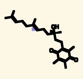 CC(C)=CCC/C(C)=C/CC[C@](C)(O)CCC1=C(C)C(=O)C(C)=C(C)C1=O